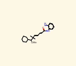 COC(C1CCCCC1)C(C)(C)/C=C/C=C/C(=O)Nc1ccccc1N